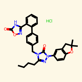 CCCCc1nn(-c2ccc3c(c2)CC(C)(C)O3)c(=O)n1Cc1ccc(-c2ccccc2-c2noc(=O)[nH]2)cc1.Cl